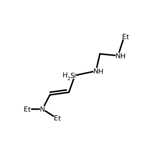 CCNCN[SiH2]C=CN(CC)CC